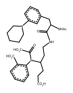 CC(=O)NC(Cc1cccc(N2CCCCC2)c1)C(=O)NCCC(CCC(=O)O)N(C(=O)C(=O)O)c1ccccc1C(=O)O